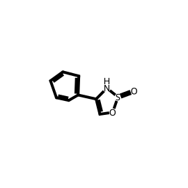 O=S1NC(c2ccccc2)=CO1